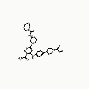 C=CC(=O)N1CCC(c2ccc(Nc3nc(N4CCC[C@@H](NC(=O)N5CCCCC5)C4)nnc3C(N)=O)cc2)CC1